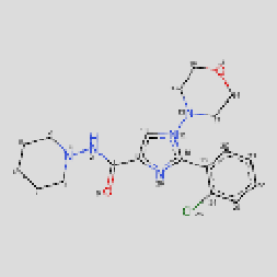 O=C(NN1CCCCC1)c1cn(N2CCOCC2)c(-c2ccccc2Cl)n1